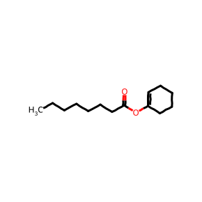 CCCCCCCC(=O)OC1=CCCCC1